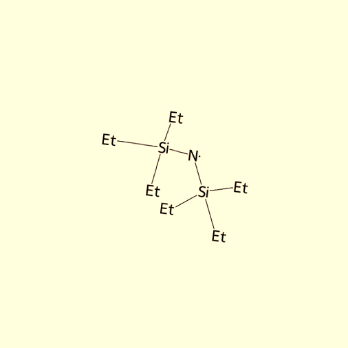 CC[Si](CC)(CC)[N][Si](CC)(CC)CC